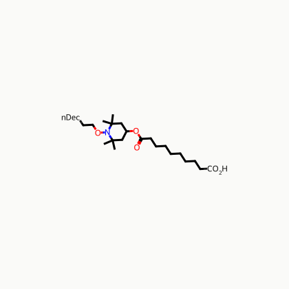 CCCCCCCCCCCCON1C(C)(C)CC(OC(=O)CCCCCCCCC(=O)O)CC1(C)C